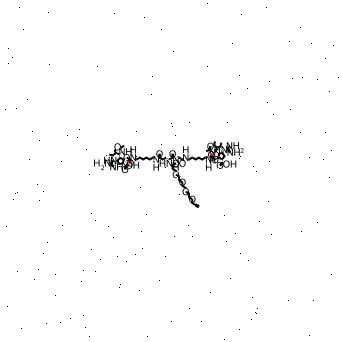 C#CCOCCOCCOCCOCCC(=O)N[C@H](CCC(=O)NCCCCCCNC(=O)O[C@H]1[C@@H]([C@@H](NC(C)=O)C(C)CC)[C@H](NC(=N)N)C[C@@H]1C(=O)O)C(=O)NCC(=O)NCCCCCCNC(=O)O[C@H]1[C@@H]([C@@H](NC(C)=O)C(CC)CC)[C@H](NC(=N)N)C[C@@H]1C(=O)O